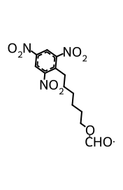 O=[C]OCCCCCCc1c([N+](=O)[O-])cc([N+](=O)[O-])cc1[N+](=O)[O-]